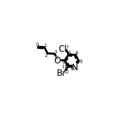 C=CCCOc1c(Cl)ccnc1Br